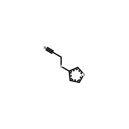 N#CCSc1ccsc1